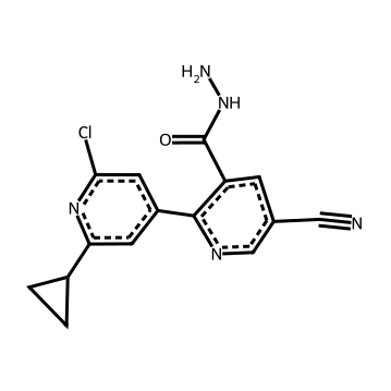 N#Cc1cnc(-c2cc(Cl)nc(C3CC3)c2)c(C(=O)NN)c1